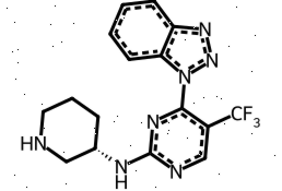 FC(F)(F)c1cnc(N[C@H]2CCCNC2)nc1-n1nnc2ccccc21